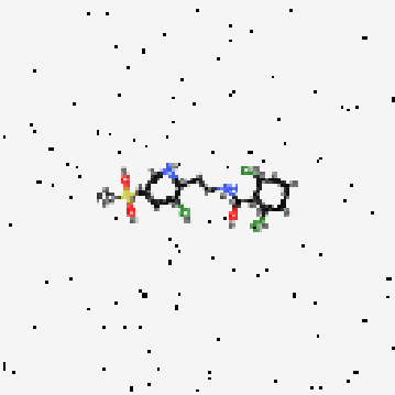 O=C(NCCc1ncc(S(=O)(=O)C(F)(F)F)cc1Cl)c1c(Cl)cccc1Cl